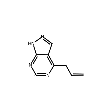 C=CCc1n[c]nc2[nH]ncc12